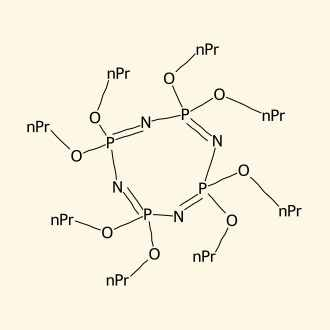 CCCOP1(OCCC)=NP(OCCC)(OCCC)=NP(OCCC)(OCCC)=NP(OCCC)(OCCC)=N1